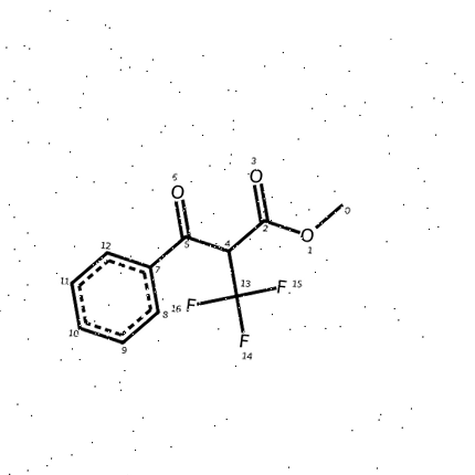 COC(=O)C(C(=O)c1ccccc1)C(F)(F)F